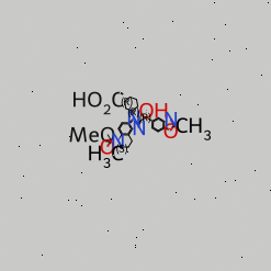 COC(=O)N1c2ccc3c(nc([C@H](O)c4ccc5oc(C)nc5c4)n3[C@@H]3CCC[C@@H](C(=O)O)C3)c2CC[C@@H]1C